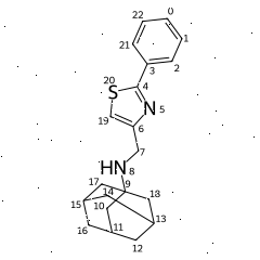 c1ccc(-c2nc(CNC34CC5CC(CC(C5)C3)C4)cs2)cc1